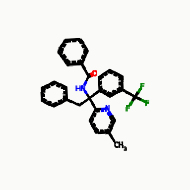 Cc1ccc(C(Cc2ccccc2)(NC(=O)c2ccccc2)c2cccc(C(F)(F)F)c2)nc1